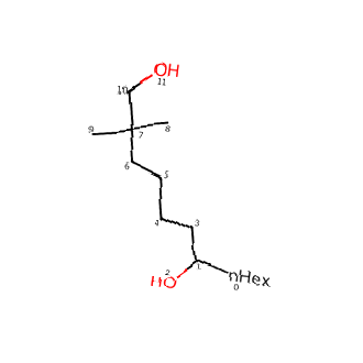 CCCCCCC(O)CCCCC(C)(C)CO